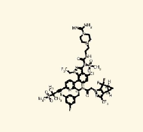 CC(C)(C#Cc1ccc(-c2ccc(Cl)c3c(N(C(=O)NCCN4CCN(C(=N)N)CC4)S(C)(=O)=O)nn(CC(F)(F)F)c23)c([C@H](Cc2cc(F)cc(F)c2)NC(=O)Cn2nc(C(F)(F)F)c3c2C(F)(F)[C@@H]2C[C@H]32)n1)S(C)(=O)=O